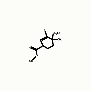 CCOC(=O)C1(C)CCN(C(=O)OC(C)(C)C)C=C1F